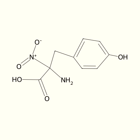 NC(Cc1ccc(O)cc1)(C(=O)O)[N+](=O)[O-]